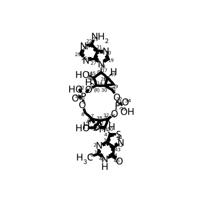 Cc1nc2c([C@@H]3O[C@@H]4COP(=O)(O)O[C@H]5[C@@H](O)[C@H](n6cnc7c(N)ncnc76)[C@H]6CC65COP(=O)(O)O[C@@H]3[C@@H]4CO)snc2c(=O)[nH]1